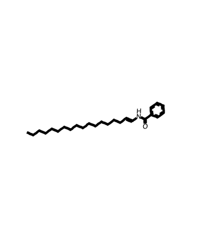 CCCCCCCCCCCCCCCC/C=C/NC(=O)c1ccccc1